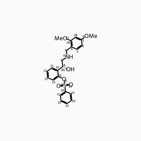 COc1ccc(CNC[C@H](O)c2ccccc2OS(=O)(=O)c2ccccc2)c(OC)c1